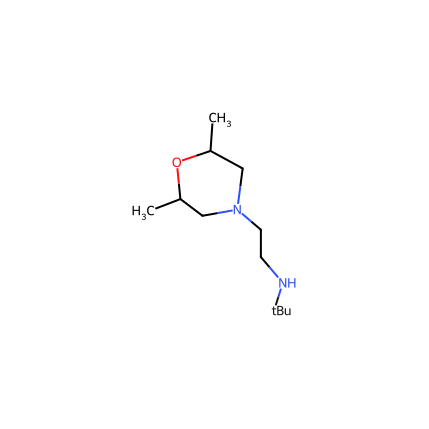 CC1CN(CCNC(C)(C)C)CC(C)O1